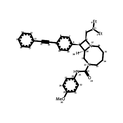 CCN(CC)C[C@@H]1[C@H](c2ccc(C#Cc3ccccc3)cc2)[C@@H]2CN(C(=O)Nc3ccc(OC)cc3)CCCCN12